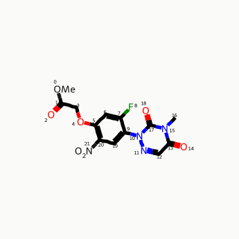 COC(=O)COc1cc(F)c(-n2ncc(=O)n(C)c2=O)cc1[N+](=O)[O-]